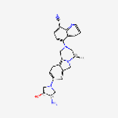 C[C@@H]1CN(c2ccc(C#N)c3ncccc23)CC2=C3CC=C(N4C[C@H](N)[C@@H](O)C4)C=C3CN21